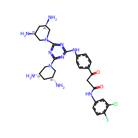 N[C@@H]1C[C@H](N)CN(c2nc(Nc3ccc(C(=O)CC(=O)Nc4ccc(F)c(Cl)c4)cc3)nc(N3C[C@H](N)C[C@H](N)C3)n2)C1